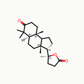 CC1(C)C(=O)CC[C@]2(C)C3CC[C@H]([C@]4(C)CCC(=O)O4)[C@]3(C)CC[C@@H]12